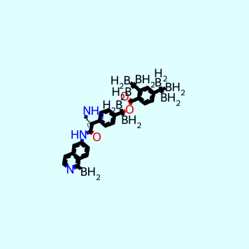 Bc1nccc2cc(NC(=O)[C@H](CN)c3ccc(C(B)(B)OC(=O)c4ccc(C(B)(B)B)cc4C(B)(B)B)cc3)ccc12